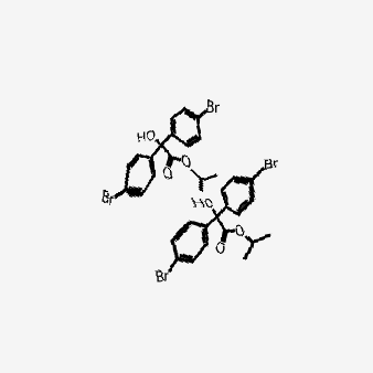 CC(C)OC(=O)C(O)(c1ccc(Br)cc1)c1ccc(Br)cc1.CC(C)OC(=O)C(O)(c1ccc(Br)cc1)c1ccc(Br)cc1